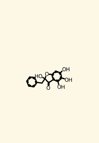 O=C1c2c(cc(O)c(O)c2O)OC1(O)Cc1ccccc1